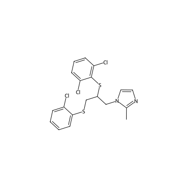 Cc1nccn1CC(CSc1ccccc1Cl)Sc1c(Cl)cccc1Cl